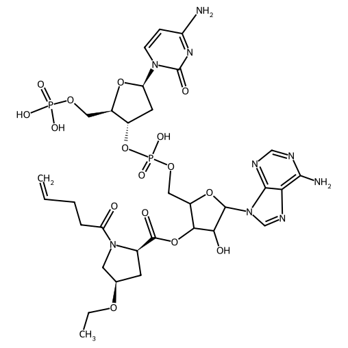 C=CCCC(=O)N1C[C@H](OCC)C[C@@H]1C(=O)OC1C(COP(=O)(O)O[C@H]2C[C@H](n3ccc(N)nc3=O)O[C@@H]2COP(=O)(O)O)OC(n2cnc3c(N)ncnc32)C1O